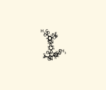 COC(=O)c1cc(OC(F)(F)F)c2nc(N3CCC(OC(=O)c4c(C56CCC(OC)(CC5)CC6)noc4C4CC4)CC3)sc2c1